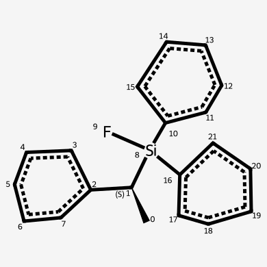 C[C@@H](c1ccccc1)[Si](F)(c1ccccc1)c1ccccc1